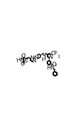 O=C1NC(=O)/C(=C/c2ccnc(N3CCC(CNCc4cc(-c5cccc(C(=O)NCc6ccccc6)c5)nc(C(F)(F)F)c4)CC3)n2)S1